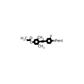 C=CC(=O)Oc1cc(C)c(C#Cc2ccc(CCCCC)c(F)c2)c(C)c1